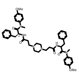 COc1ccc(N(C)C(=O)C(Cc2ccccc2)NC(=O)CCN2CCN(CCC(=O)N[C@@H](Cc3ccccc3)C(=O)N(C)c3ccc(OC)cc3)CC2)cc1